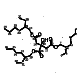 CCCCC(CC)COC(=O)CC(O)(CC(=O)OCC(CC)CCCC)C(=O)OCC(CC)CCCC